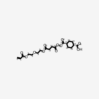 C=CC(=O)OCCOCCOC(=O)CCC(=O)OOC(=O)[C@H]1CC[C@H](C(=O)O)CC1